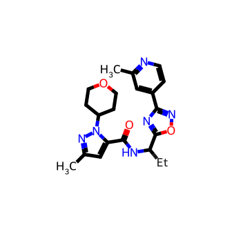 CCC(NC(=O)c1cc(C)nn1C1CCOCC1)c1nc(-c2ccnc(C)c2)no1